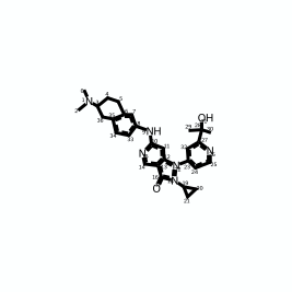 CN(C)C1CCc2cc(Nc3cc4c(cn3)c(=O)n(C3CC3)n4-c3ccnc(C(C)(C)O)c3)ccc2C1